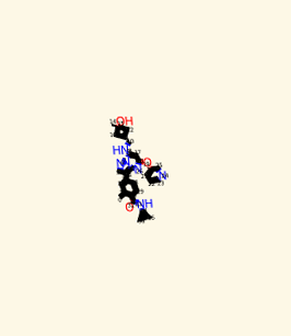 Cc1cc(-c2cnn3c(NC[C@H]4C[C@@](C)(O)C4)cc(Oc4cccnc4)nc23)ccc1C(=O)NC1CC1